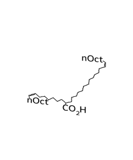 CCCCCCCC/C=C\CCCCCCCCCCCCC(CCCCCC/C=C\CCCCCCCC)C(=O)O